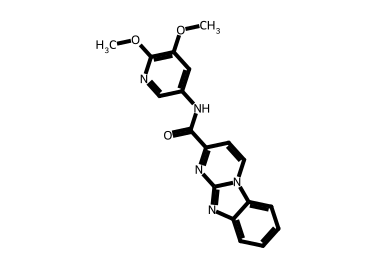 COc1cc(NC(=O)c2ccn3c(n2)nc2ccccc23)cnc1OC